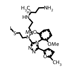 COc1cccc(OC)c1-n1c(-c2ccc(C)o2)nnc1N(CCSI)SCCN[C@H](C)CCN